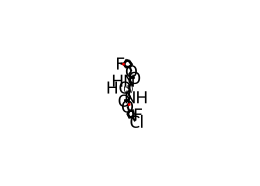 O=C(COc1ccc(Cl)c(F)c1)NCC[C@H](O)CNC(=O)COc1cccc(F)c1